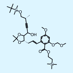 COCOc1cc(OC)cc(/C=C/C[C@@H]2OC(C)(C)OC2C(O)C#C[C@@H](C)CO[Si](C)(C)C(C)(C)C)c1C(=O)OCC[Si](C)(C)C